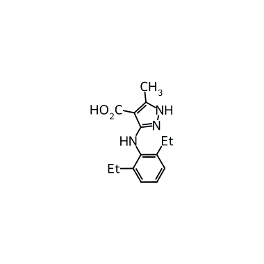 CCc1cccc(CC)c1Nc1n[nH]c(C)c1C(=O)O